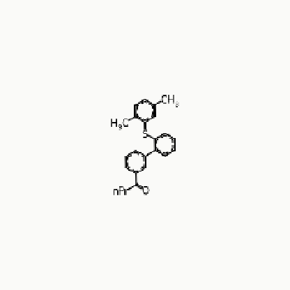 CCCC(=O)c1cccc(-c2ccccc2Sc2cc(C)ccc2C)c1